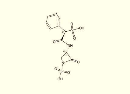 O=C(N[C@H]1CN(S(=O)(=O)O)C1=O)[C@@H](c1ccccc1)S(=O)(=O)O